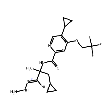 CC(CC1CC1)(NC(=O)c1cc(OCC(F)(F)F)c(C2CC2)cn1)/C(N)=N/NN